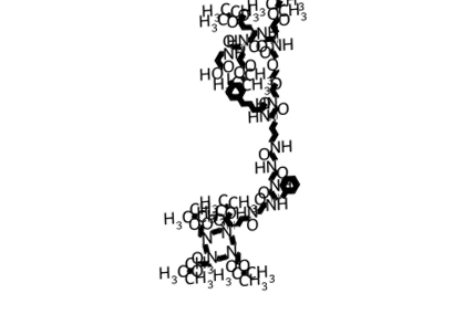 CC(C)(C)OC(=O)CC[C@@H](NC(=O)COCCOCCNC(=O)[C@H](CCCCNC(=O)CNC(=O)CNC(=O)[C@H](Cc1ccccc1)NC(=O)CNC(=O)CC[C@H](C(=O)OC(C)(C)C)N1CCN(CC(=O)OC(C)(C)C)CCN(CC(=O)OC(C)(C)C)CCN(CC(=O)OC(C)(C)C)CC1)NC(=O)CCCc1ccc(I)cc1)C(=O)N[C@H](CCC(=O)OC(C)(C)C)C(=O)N[C@H](CCC(=O)OC(C)(C)C)C(=O)NCCC(=O)O